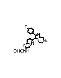 CN1CCn2c(nc(-c3ccc(F)cc3)c2-c2ccc3nc(NC=O)cn3n2)C1